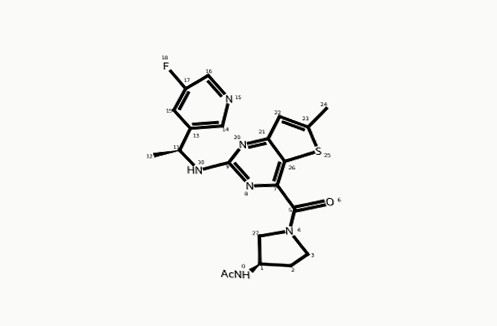 CC(=O)N[C@@H]1CCN(C(=O)c2nc(N[C@@H](C)c3cncc(F)c3)nc3cc(C)sc23)C1